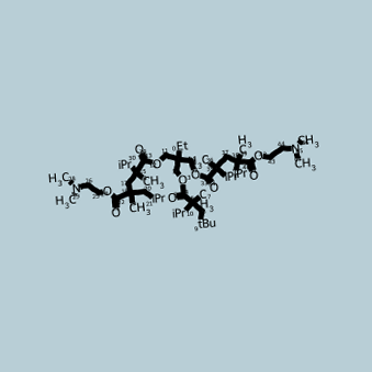 CCC(COC(=O)C(C)(CC(C)(C)C)C(C)C)(COC(=O)C(C)(CC(C)(CC(C)C)C(=O)OCCN(C)C)C(C)C)COC(=O)C(C)(CC(C)(C(=O)OCCN(C)C)C(C)C)C(C)C